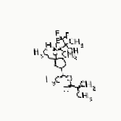 C=C(C)C(=O)OC(C)C1CCC(CC)(OC(C)(C)C(C)(O)C(F)(F)F)C1